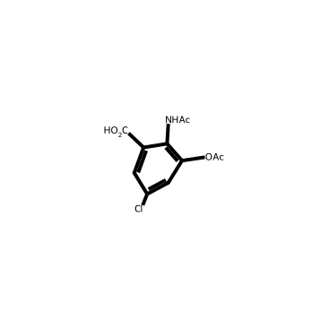 CC(=O)Nc1c(OC(C)=O)cc(Cl)cc1C(=O)O